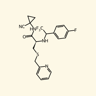 N#CC1(NC(=O)[C@H](CSCc2ccccn2)NC(c2ccc(F)cc2)C(F)(F)F)CC1